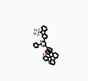 CCc1ccccc1C1(c2ccccc2CC)c2ccccc2-c2cccc(-c3ccc(-c4cc(-c5ccc6c(c5)C(C)(C)c5ccccc5-6)nc(-c5ccccc5)n4)cc3)c21